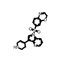 O=S(=O)(c1ccc2c(c1)OCC=N2)n1cc(C2=CCNCC2)c2ncccc21